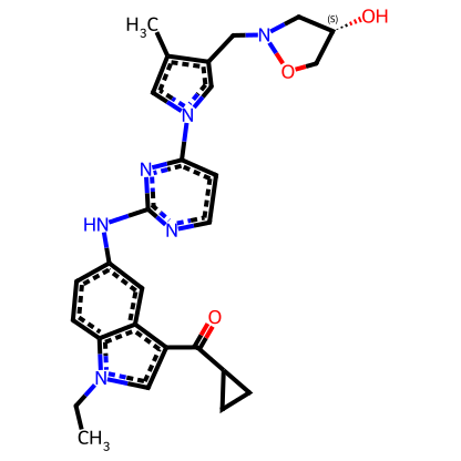 CCn1cc(C(=O)C2CC2)c2cc(Nc3nccc(-n4cc(C)c(CN5C[C@H](O)CO5)c4)n3)ccc21